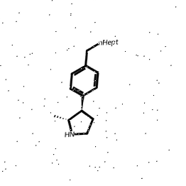 CCCCCCCCc1ccc([C@H]2CCN[C@@H]2C)cc1